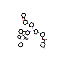 Cc1ccc2oc(-c3cccc(-c4ccc(N(c5cccc(-c6ccc7oc8ccccc8c7c6)c5)c5ccc6c(c5)-c5ccccc5C65c6ccccc6N(c6ccccc6)c6ccccc65)cc4)c3)c(C)c2c1